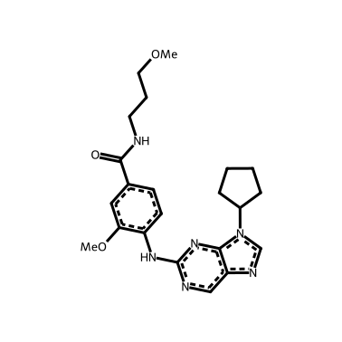 COCCCNC(=O)c1ccc(Nc2ncc3ncn(C4CCCC4)c3n2)c(OC)c1